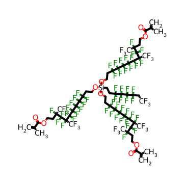 C=C(C)C(=O)OCCC(F)(C(F)(F)F)C(F)(F)C(F)(C(F)(F)F)C(F)(F)C(F)(F)C(F)(F)C(F)(F)C(F)(F)CCO[Si](CCC(F)(F)C(F)(F)C(F)(F)C(F)(F)CC(F)(F)F)(OCCC(F)(F)C(F)(F)C(F)(F)C(F)(F)C(F)(F)C(F)(C(F)(F)F)C(F)(F)C(F)(CCOC(=O)C(=C)C)C(F)(F)F)OCCC(F)(F)C(F)(F)C(F)(F)C(F)(F)C(F)(F)C(F)(C(F)(F)F)C(F)(F)C(F)(CCOC(=O)C(=C)C)C(F)(F)F